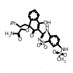 CC(C)CCC1(OCC(N)=O)C(=O)C(C2=NS(=O)(=O)c3cc(NS(C)(=O)=O)ccc3N2)=C(O)c2ccccc21